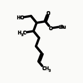 CC=CCCC(C)C(CO)C(=O)OC(C)(C)C